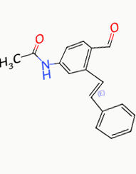 CC(=O)Nc1ccc(C=O)c(/C=C/c2ccccc2)c1